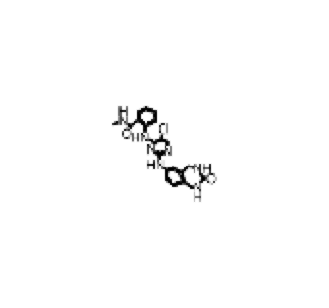 CNC(=O)c1ccccc1Nc1nc(Nc2ccc3c(c2)CNC(=O)NC3)ncc1Cl